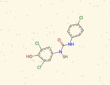 O=C(Nc1ccc(Cl)cc1)N(S)c1cc(Cl)c(O)c(Cl)c1